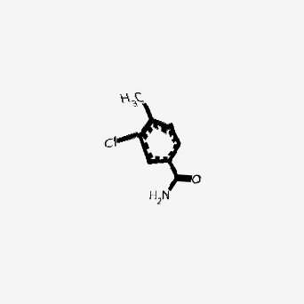 Cc1ccc(C(N)=O)cc1Cl